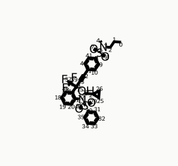 CCCN(C)S(=O)(=O)c1ccc(C#CC(O)(c2ccccc2N(CC2CC2)S(=O)(=O)c2ccccc2)C(F)(F)F)cc1